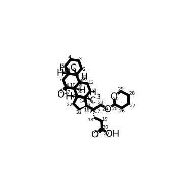 C[C@]12CCCC[C@H]1CC(=O)[C@@H]1[C@@H]2CC[C@]2(C)[C@@H]([C@@H](CCC(=O)O)COC3CCCCO3)CC[C@@H]12